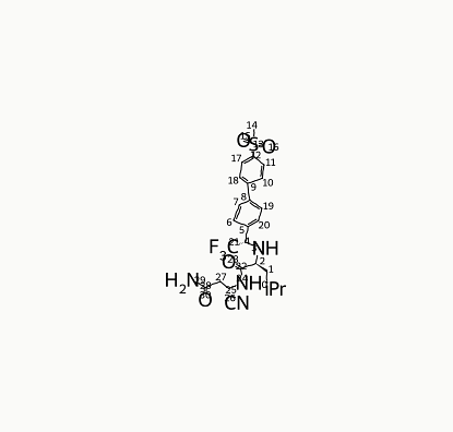 CC(C)C[C@H](N[C@@H](c1ccc(-c2ccc(S(C)(=O)=O)cc2)cc1)C(F)(F)F)C(=O)N[C@H](C#N)CC(N)=O